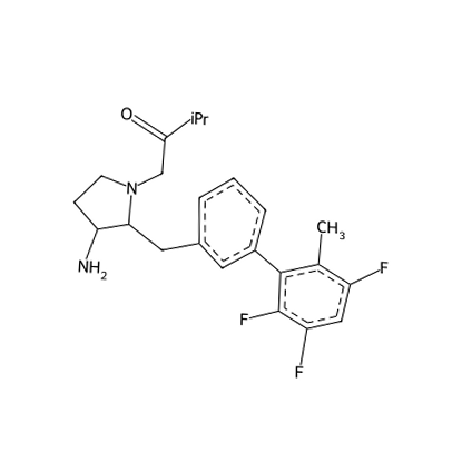 Cc1c(F)cc(F)c(F)c1-c1cccc(CC2C(N)CCN2CC(=O)C(C)C)c1